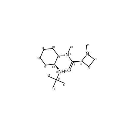 CN1CC[C@H]1C(=O)N(C)[C@H]1CCCC[C@@H]1NC(C)(C)C